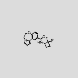 O=C(NC1CCC1(F)F)c1ccc2c(c1)-c1cncn1CCO2